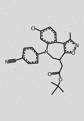 Cc1noc2c1-c1ccc(Cl)cc1N(c1ccc(C#N)cc1)CC2CC(=O)OC(C)(C)C